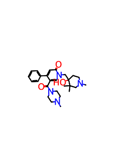 CN1CCN(C(=O)c2cn(CC3(O)CCN(C)CC3(C)C)c(=O)cc2-c2ccccc2)CC1